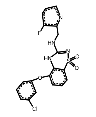 O=S1(=O)N=C(NCc2ncccc2F)Nc2c(Oc3cccc(Cl)c3)cccc21